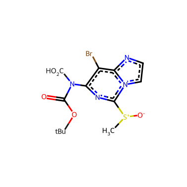 C[S+]([O-])c1nc(N(C(=O)O)C(=O)OC(C)(C)C)c(Br)c2nccn12